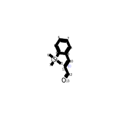 C[Si](C)(C)c1ccccc1/C=C/[C]=O